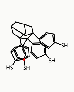 Sc1ccc(C23CC4CC(C2)CC(c2ccc(S)cc2)(C4)C3(c2ccc(S)cc2)c2ccc(S)cc2)cc1